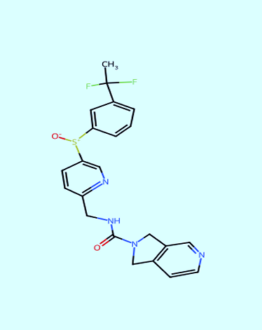 CC(F)(F)c1cccc([S+]([O-])c2ccc(CNC(=O)N3Cc4ccncc4C3)nc2)c1